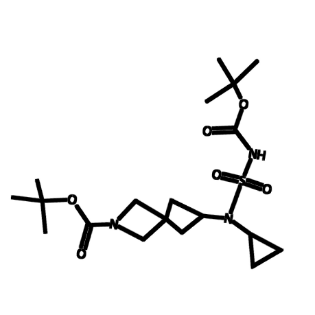 CC(C)(C)OC(=O)NS(=O)(=O)N(C1CC1)C1CC2(C1)CN(C(=O)OC(C)(C)C)C2